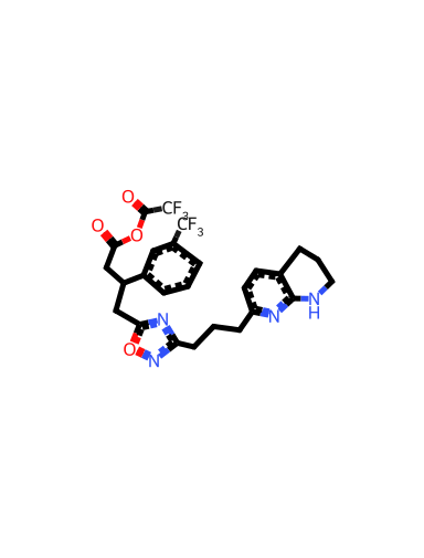 O=C(CC(Cc1nc(CCCc2ccc3c(n2)NCCC3)no1)c1cccc(C(F)(F)F)c1)OC(=O)C(F)(F)F